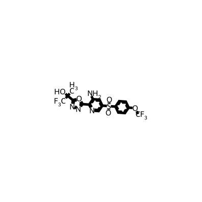 CC(O)(c1nnc(-c2ncc(S(=O)(=O)c3ccc(OC(F)(F)F)cc3)cc2N)o1)C(F)(F)F